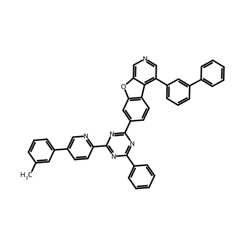 Cc1cccc(-c2ccc(-c3nc(-c4ccccc4)nc(-c4ccc5c(c4)oc4cncc(-c6cccc(-c7ccccc7)c6)c45)n3)nc2)c1